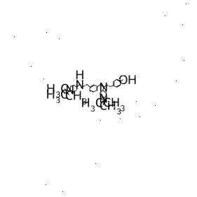 CC(C)(C)N1CCC(NCCc2cccc(CN(CCc3ccc(O)cc3)C3CCN(C(C)(C)C)CC3)c2)CC1